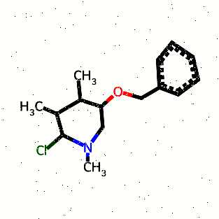 CC1C(OCc2ccccc2)CN(C)C(Cl)C1C